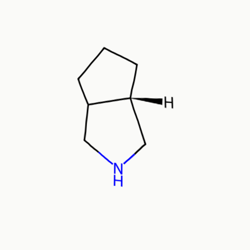 C1CC2CNC[C@H]2C1